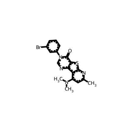 Cc1cc(N(C)C)c2c(n1)sc1c(=O)n(-c3cccc(Br)c3)cnc12